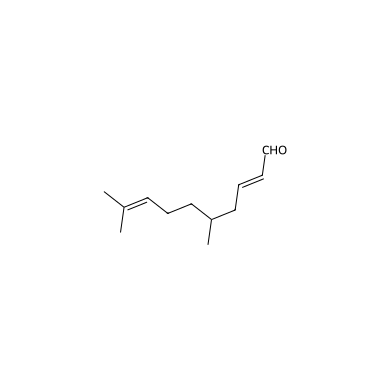 CC(C)=CCCC(C)CC=CC=O